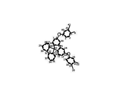 Cc1ccc(Oc2ccc(C3(c4ccc(Oc5ccc(C)c(C)c5)cc4)c4ccccc4-c4ccccc43)cc2)cc1C